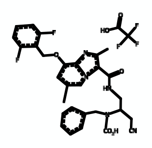 Cc1cc(OCc2c(F)cccc2F)c2nc(C)c(C(=O)NCC(CC#N)N(Cc3ccccc3)C(=O)O)n2c1.O=C(O)C(F)(F)F